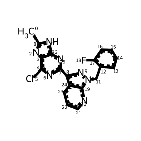 Cc1nc2c(Cl)nc(-c3nn(Cc4ccccc4F)c4ncccc34)nc2[nH]1